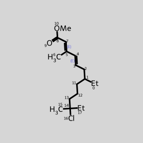 CCC(C/C=C/C(C)=C/C(=O)OC)CCCC(C)(Cl)CC